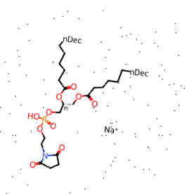 CCCCCCCCCCCCCCCC(=O)OC[C@H](COP(=O)(O)OCCN1C(=O)CCC1=O)OC(=O)CCCCCCCCCCCCCCC.[Na+]